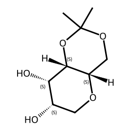 CC1(C)OC[C@@H]2OC[C@H](O)[C@H](O)[C@@H]2O1